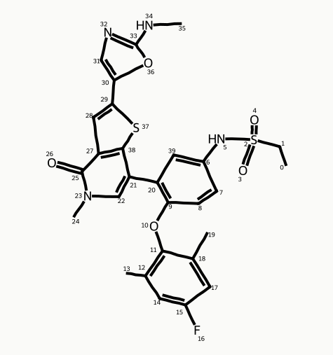 CCS(=O)(=O)Nc1ccc(Oc2c(C)cc(F)cc2C)c(-c2cn(C)c(=O)c3cc(-c4cnc(NC)o4)sc23)c1